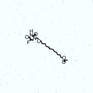 CC(=O)OCCCCCCCCCCCCOCn1cc(F)c(=O)[nH]c1=O